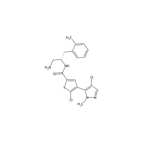 Cc1ccccc1C[C@@H](CN)NC(=O)c1cc(-c2c(Cl)cnn2C)c(Cl)s1